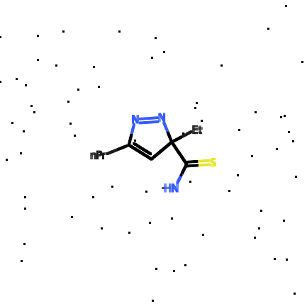 CCCC1=CC(CC)(C([NH])=S)N=N1